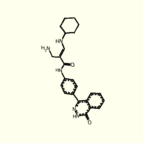 NC/C(=C\NC1CCCCC1)C(=O)Nc1ccc(-c2n[nH]c(=O)c3ccccc23)cc1